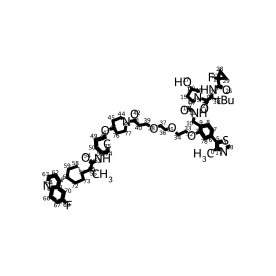 Cc1ncsc1-c1ccc(CNC(=O)[C@@H]2C[C@@H](O)CN2C(=O)[C@@H](NC(=O)C2(F)CC2)C(C)(C)C)c(OCCOCCOCCC(=O)N2CCC(Oc3ccc(NC(=O)[C@H](C)[C@H]4CC[C@@H](c5ccnc6ccc(F)cc65)CC4)cc3)CC2)c1